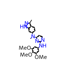 COc1cc(Nc2nccc(N(C)c3ccc4c(C)n[nH]c4c3)n2)cc(OC)c1OC